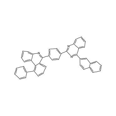 c1ccc(-c2cccc3c(-c4ccc(-c5nc(-c6ccc7ccccc7c6)c6ccccc6n5)cc4)nc4ccccc4c23)cc1